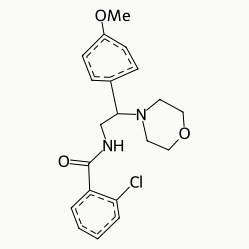 COc1ccc(C(CNC(=O)c2ccccc2Cl)N2CCOCC2)cc1